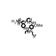 C=CC(=O)Nc1cc(Nc2nccc(-n3cc(S(N)(=O)=O)c4ccccc43)n2)c(OC)cc1N(C)CCN(C)C